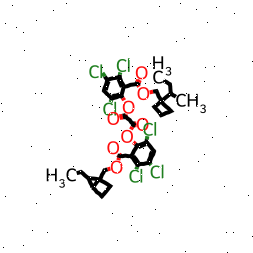 CCC(C)C1(COC(=O)c2c(Cl)c(Cl)cc(Cl)c2OC(=O)C(=O)Oc2c(Cl)cc(Cl)c(Cl)c2C(=O)OCC23CCC2C3CC)CCC1